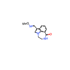 CON=Cc1cn2c3c(cccc13)C(=O)NCC2